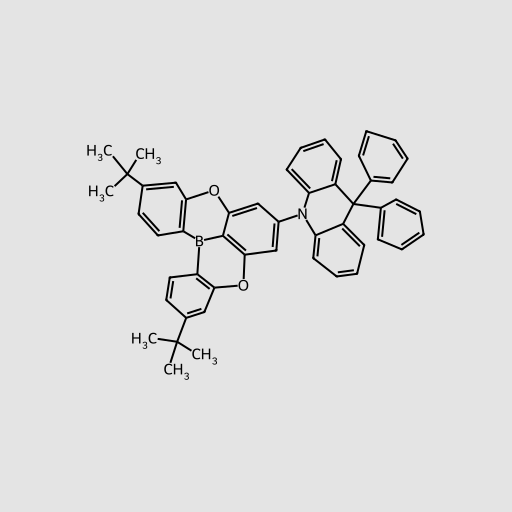 CC(C)(C)c1ccc2c(c1)Oc1cc(N3c4ccccc4C(c4ccccc4)(c4ccccc4)c4ccccc43)cc3c1B2c1ccc(C(C)(C)C)cc1O3